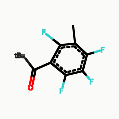 Cc1c(F)c(F)c(F)c(C(=O)C(C)(C)C)c1F